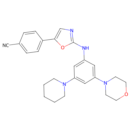 N#Cc1ccc(-c2cnc(Nc3cc(N4CCCCC4)cc(N4CCOCC4)c3)o2)cc1